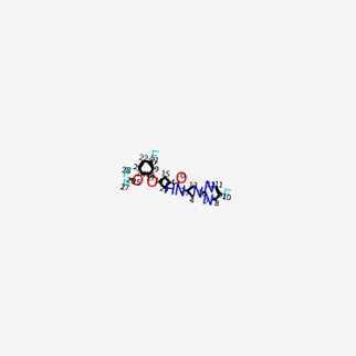 O=C(NC1CN(c2ncc(F)cn2)C1)[C@H]1C[C@H](Oc2cc(F)ccc2OC(F)F)C1